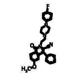 COc1ccc2c(=O)n(CCN3CCN(c4ccc(F)cc4)CC3)c(C#N)c(-c3ccccc3)c2c1